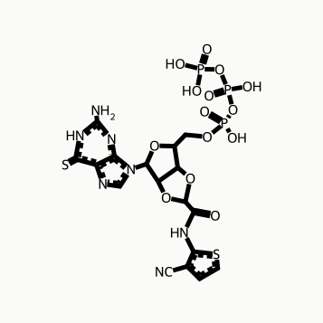 N#Cc1ccsc1NC(=O)C1OC2C(COP(=O)(O)OP(=O)(O)OP(=O)(O)O)OC(n3cnc4c(=S)[nH]c(N)nc43)C2O1